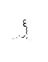 COCCN(CCCCCc1ccc2c(n1)NCCC2)CCC(NC(=O)OC(C)(C)C)C(=O)O